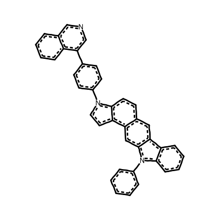 c1ccc(-n2c3ccccc3c3cc4ccc5c(ccn5-c5ccc(-c6cncc7ccccc67)cc5)c4cc32)cc1